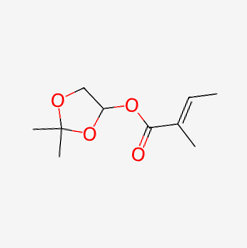 CC=C(C)C(=O)OC1COC(C)(C)O1